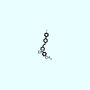 CC[Si]1(c2ccc(C)cc2)CCC(CCC2CCC(c3ccc(F)cc3)CC2)CC1